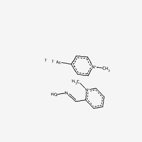 CC(=O)c1cc[n+](C)cc1.C[n+]1ccccc1C=NO.[I-].[I-]